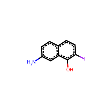 Nc1ccc2ccc(I)c(O)c2c1